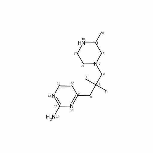 CC1CN(CC(C)(C)Cc2ccnc(N)n2)CCN1